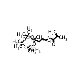 C=C(C)C(=O)NCCC[Si]1(C)O[Si](C)(C)O[Si](C)(C)O[Si](C)(C)O1